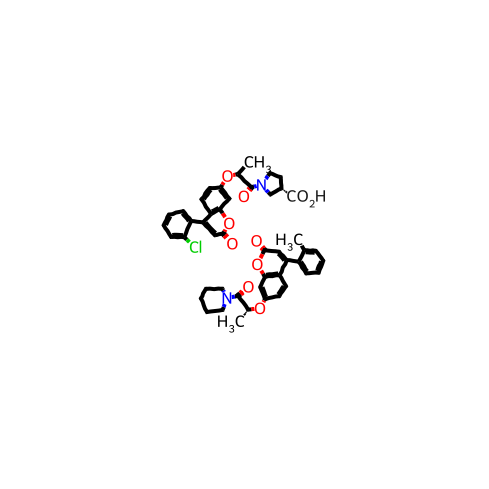 CC(Oc1ccc2c(-c3ccccc3Cl)cc(=O)oc2c1)C(=O)N1CC[C@H](C(=O)O)C1.Cc1ccccc1-c1cc(=O)oc2cc(O[C@H](C)C(=O)N3CCCCC3)ccc12